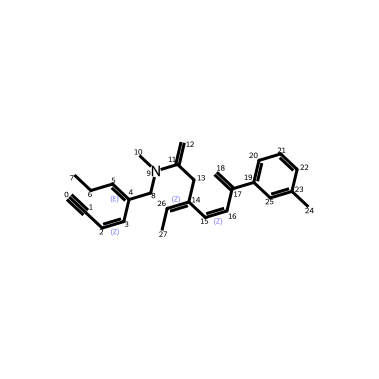 C#C/C=C\C(=C/CC)CN(C)C(=C)CC(/C=C\C(=C)c1cccc(C)c1)=C/C